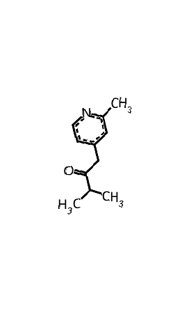 Cc1cc(CC(=O)C(C)C)ccn1